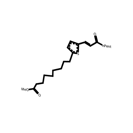 CCCCCC(=O)C=Cc1ccc(CCCCCCCCC(=O)OC)s1